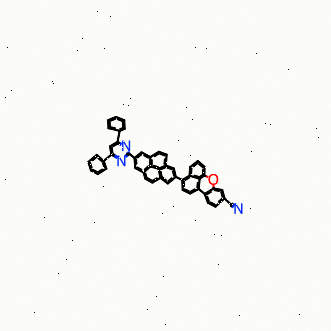 N#Cc1ccc2c(c1)Oc1cccc3c(-c4cc5ccc6cc(-c7nc(-c8ccccc8)cc(-c8ccccc8)n7)cc7ccc(c4)c5c67)ccc-2c13